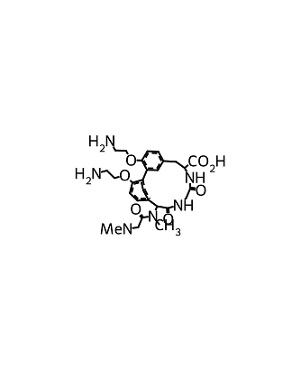 CNCC(=O)N(C)C1C(=O)NCC(=O)NC(C(=O)O)Cc2ccc(OCCN)c(c2)-c2cc1ccc2OCCN